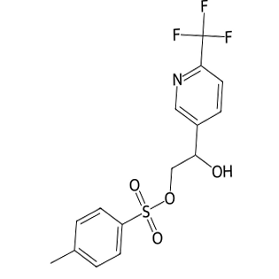 Cc1ccc(S(=O)(=O)OCC(O)c2ccc(C(F)(F)F)nc2)cc1